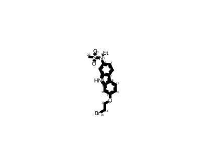 CCN(c1ccc2c(c1)[nH]c1cc(OCCBr)ccc12)S(C)(=O)=O